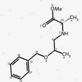 COC(=O)[C@H](C)NCC(C)OCc1ccccc1